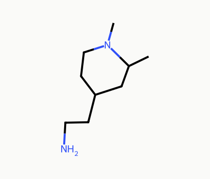 CC1CC(CCN)CCN1C